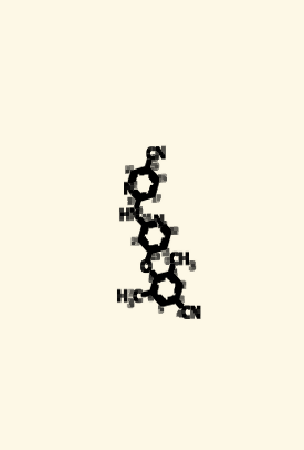 Cc1cc(C#N)cc(C)c1Oc1ccnc(Nc2ccc(C#N)cn2)c1